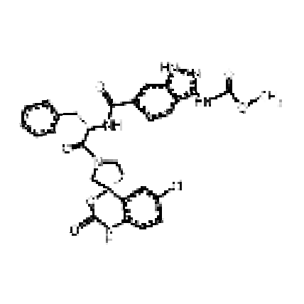 COC(=O)Nc1n[nH]c2cc(C(=O)N[C@@H](Cc3ccccc3)C(=O)N3CC[C@@]4(C3)OC(=O)Nc3ccc(Cl)cc34)ccc12